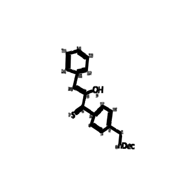 CCCCCCCCCCCc1ccc(C(=S)C(O)=Cc2ccccc2)cc1